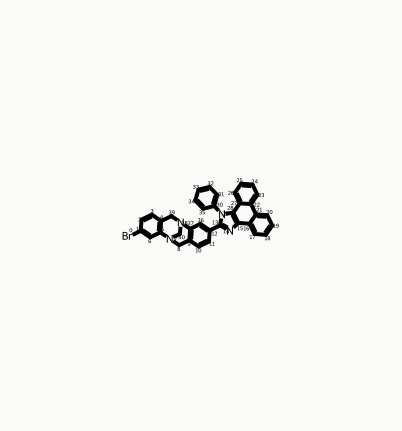 Brc1ccc2c(c1)N1Cc3ccc(-c4nc5c6ccccc6c6ccccc6c5n4-c4ccccc4)cc3N(C2)C1